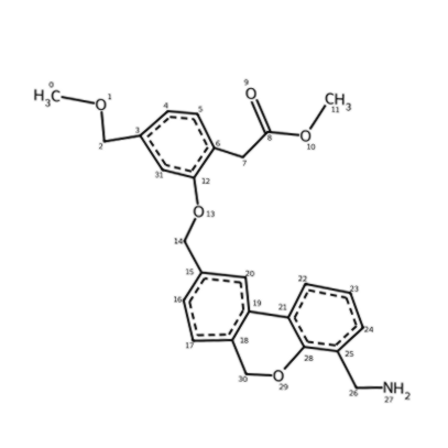 COCc1ccc(CC(=O)OC)c(OCc2ccc3c(c2)-c2cccc(CN)c2OC3)c1